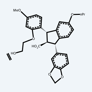 C=C.CCCOc1ccc2c(c1)[C@@H](c1ccc(OC)cc1OCCO)[C@H](C(=O)O)[C@H]2c1ccc2c(c1)OCO2